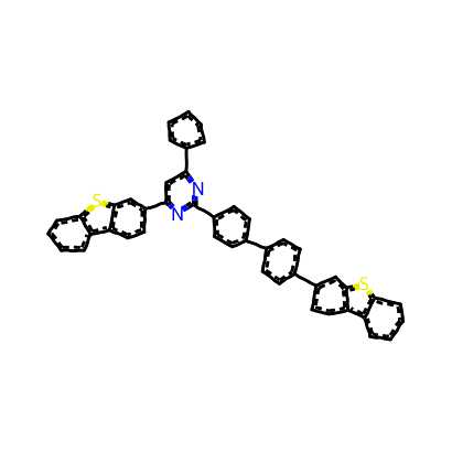 c1ccc(-c2cc(-c3ccc4c(c3)sc3ccccc34)nc(-c3ccc(-c4ccc(-c5ccc6c(c5)sc5ccccc56)cc4)cc3)n2)cc1